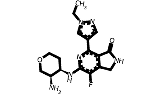 CCn1cc(-c2nc(N[C@@H]3CCOC[C@@H]3N)c(F)c3c2C(=O)NC3)cn1